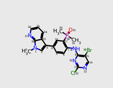 Cn1cc(-c2ccc(Nc3nc(Cl)ncc3Br)c(P(C)(C)=O)c2)c2cccnc21